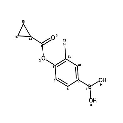 O=C(Oc1ccc(B(O)O)cc1F)C1CC1